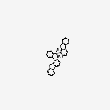 CC(C)(C)[Si](c1ccccc1-c1cccc2c1Cc1ccccc1-2)(c1cccc2c1Cc1ccccc1-2)C(C)(C)C